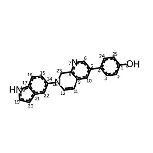 Oc1ccc(-c2cnc3c(c2)C=CN(c2ccc4[nH]ccc4c2)C3)cc1